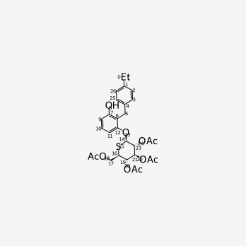 CCc1ccc(Cc2c(O)cccc2O[C@@H]2S[C@H](COC(C)=O)[C@@H](OC(C)=O)[C@H](OC(C)=O)[C@H]2OC(C)=O)cc1